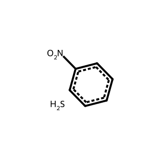 O=[N+]([O-])c1ccccc1.S